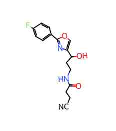 N#CCCC(=O)NCCC(O)c1coc(-c2ccc(F)cc2)n1